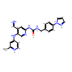 Cc1cc(Nc2cnc(NC(=O)NCc3ccc(-n4cccn4)cc3)cc2C=N)ccn1